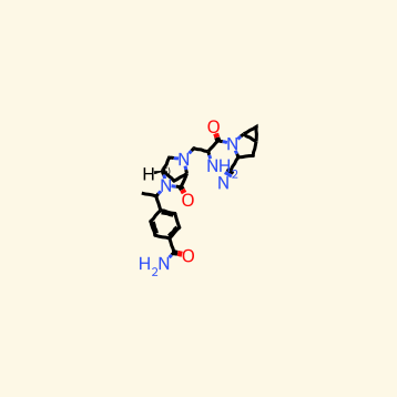 CC(c1ccc(C(N)=O)cc1)N1C(=O)C2C[C@H]1CN2CC(N)C(=O)N1C(C#N)CC2CC21